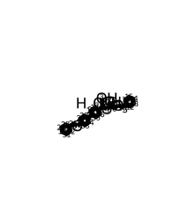 CC(C)(O)C(OC(=O)COCc1ccccc1)c1ccc(-c2ccc(OCc3ccccc3)cc2)cc1